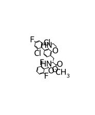 COC(=O)[C@H](Cc1ccc(-c2c(Cl)cc(F)cc2Cl)c2c1OCCN2)NC(=O)c1c(F)cccc1F